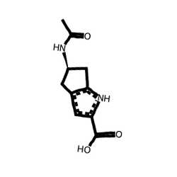 CC(=O)N[C@@H]1Cc2cc(C(=O)O)[nH]c2C1